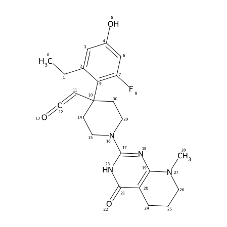 CCc1cc(O)cc(F)c1C1(C=C=O)CCN(c2nc3c(c(=O)[nH]2)CCCN3C)CC1